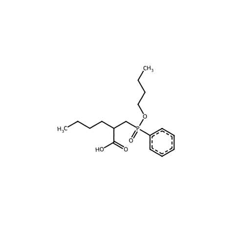 CCCCOP(=O)(CC(CCCC)C(=O)O)c1ccccc1